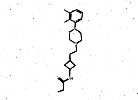 CCC(=O)NC1CC(CCN2CCN(c3cccc(Cl)c3C)CC2)C1